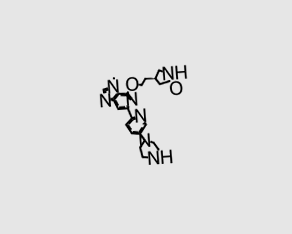 Cn1cnc2cc(-c3ccc(N4CCNCC4)cn3)nc(OCC[C@H]3CNC(=O)C3)c21